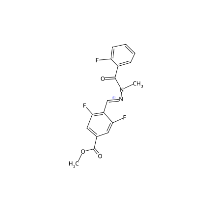 COC(=O)c1cc(F)c(/C=N/N(C)C(=O)c2ccccc2F)c(F)c1